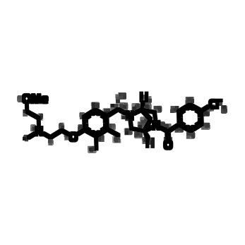 COCCN(C)CCOc1ccc([C@H](C)N2C[C@@H]3C[C@H]2CN3C(=O)c2ccc(C(F)(F)F)cc2)c(C)c1C